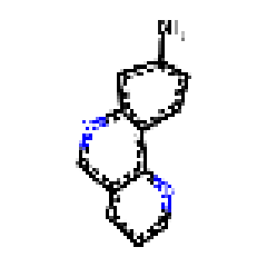 Bc1ccc2c(c1)ncc1cccnc12